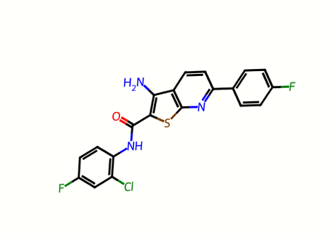 Nc1c(C(=O)Nc2ccc(F)cc2Cl)sc2nc(-c3ccc(F)cc3)ccc12